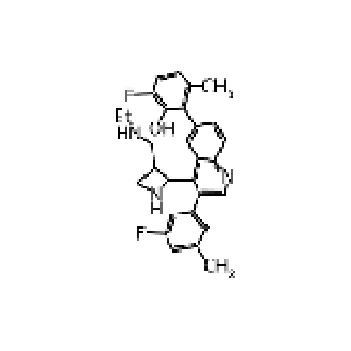 CCNCC1CNC1c1c(-c2cc(C)cc(F)c2)cnc2ccc(-c3c(C)ccc(F)c3O)cc12